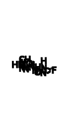 CN1Cc2c(ncnc2C(=O)NCc2cc(-c3nc4ccc(CF)cc4[nH]3)on2)N1